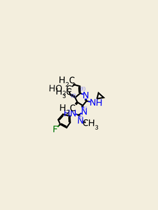 C=C(/C=C1N=C(NC2CC2)/C(=N/C(=N\C)Nc2ccc(F)cc2)C(=C)C/1=C/C)C(=O)O